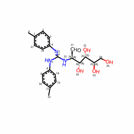 Cc1ccc(N=C(Nc2ccc(C)cc2)N[C@@H](C=O)[C@@H](O)[C@H](O)[C@H](O)CO)cc1